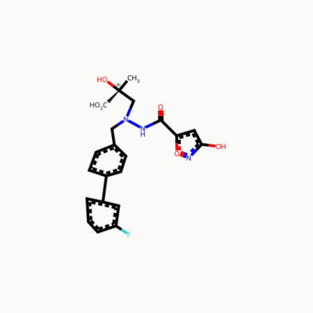 C[C@@](O)(CN(Cc1ccc(-c2cccc(F)c2)cc1)NC(=O)c1cc(O)no1)C(=O)O